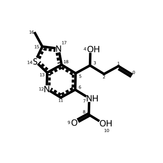 C=CCC(O)c1c(NC(=O)O)cnc2sc(C)nc12